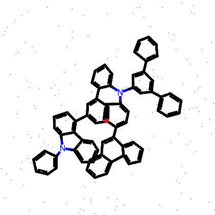 c1ccc(-c2cc(-c3ccccc3)cc(N(c3ccc(-c4cc5ccccc5c5ccccc45)cc3)c3ccccc3-c3cccc(-c4cccc5c4c4ccccc4n5-c4ccccc4)c3)c2)cc1